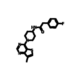 Cc1csc2c(N3CCC(NC(=O)Cc4ccc(F)cc4)CC3)ncnc12